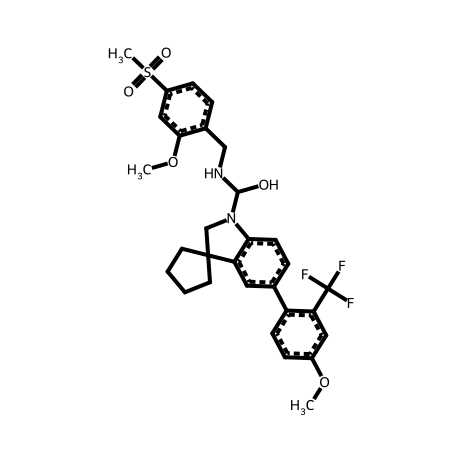 COc1ccc(-c2ccc3c(c2)C2(CCCC2)CN3C(O)NCc2ccc(S(C)(=O)=O)cc2OC)c(C(F)(F)F)c1